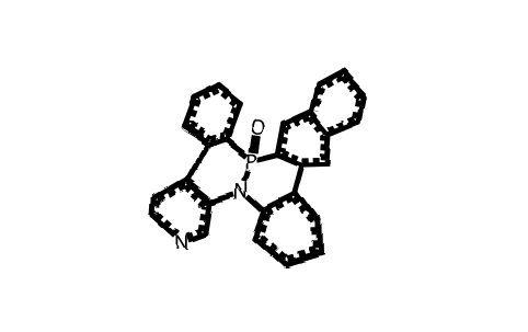 O=P12c3ccccc3-c3ccncc3N1c1ccccc1-c1cc3ccccc3cc12